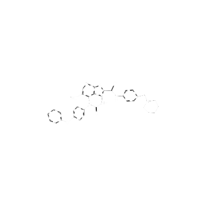 N#Cc1cnc2sc(C(=O)Nc3ccc(CN4CCCCC4)cc3)c3c2c1N(c1ccc(Oc2ccccc2)cc1)C(=O)N3